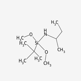 CCC(C)N[Si](OC)(OC)C(C)(C)C